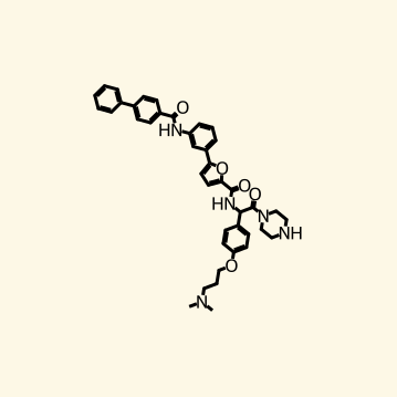 CN(C)CCCOc1ccc(C(NC(=O)c2ccc(-c3cccc(NC(=O)c4ccc(-c5ccccc5)cc4)c3)o2)C(=O)N2CCNCC2)cc1